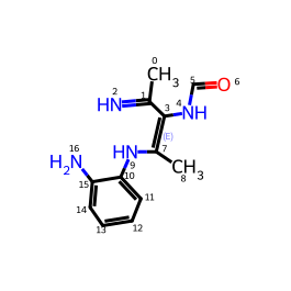 CC(=N)/C(NC=O)=C(/C)Nc1ccccc1N